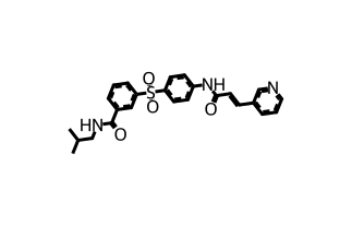 CC(C)CNC(=O)c1cccc(S(=O)(=O)c2ccc(NC(=O)/C=C/c3cccnc3)cc2)c1